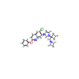 Clc1cc2ccc(Oc3ccccc3)nc2cc1N1C=CN(C2(CN3CCC3)CCC2)C1